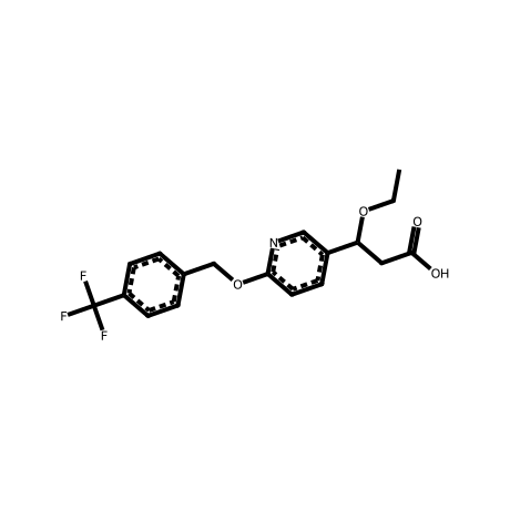 CCOC(CC(=O)O)c1ccc(OCc2ccc(C(F)(F)F)cc2)nc1